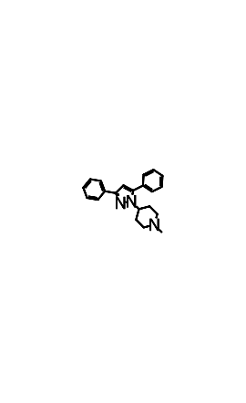 CN1CCC(n2nc(-c3ccccc3)cc2-c2ccccc2)CC1